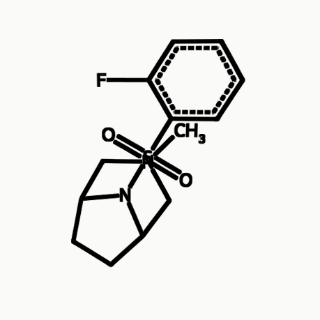 CN1CC2CCC(C1)N2S(=O)(=O)c1ccccc1F